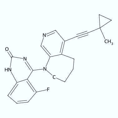 CC1(C#Cc2cncc3c2CCCCN3c2nc(=O)[nH]c3cccc(F)c23)CC1